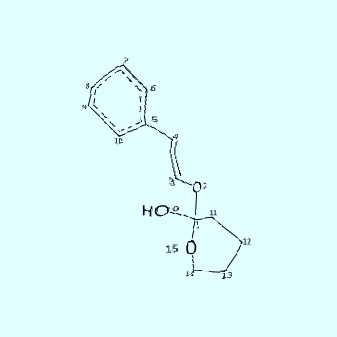 OC1(OC=Cc2ccccc2)CCCCO1